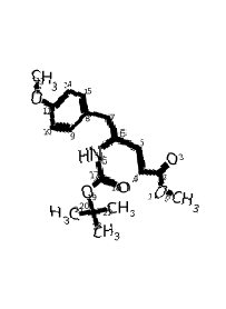 COC(=O)C=CC(Cc1ccc(OC)cc1)NC(=O)OC(C)(C)C